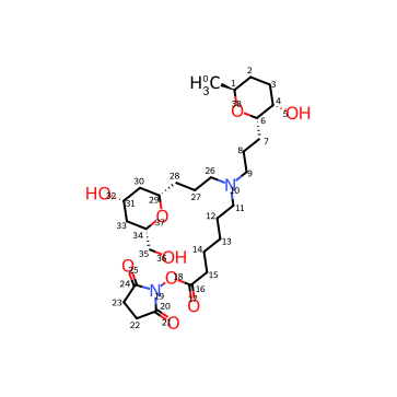 C[C@H]1CC[C@H](O)[C@H](CCCN(CCCCCC(=O)ON2C(=O)CCC2=O)CCC[C@H]2C[C@@H](O)C[C@@H](CO)O2)O1